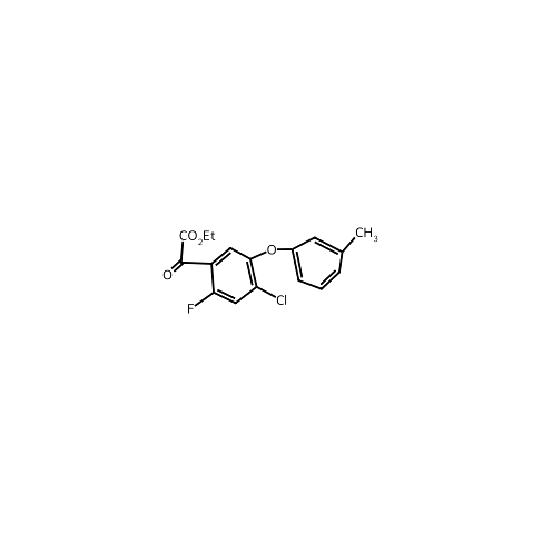 CCOC(=O)C(=O)c1cc(Oc2cccc(C)c2)c(Cl)cc1F